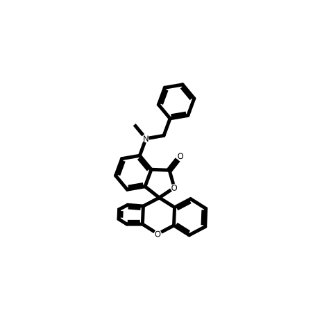 CN(Cc1ccccc1)c1cccc2c1C(=O)OC21c2ccccc2Oc2ccccc21